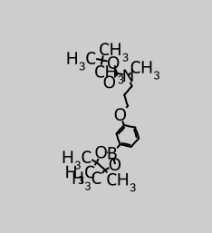 CN(CCCOc1cccc(B2OC(C)(C)C(C)(C)O2)c1)C(=O)OC(C)(C)C